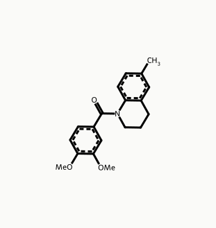 COc1ccc(C(=O)N2CCCc3cc(C)ccc32)cc1OC